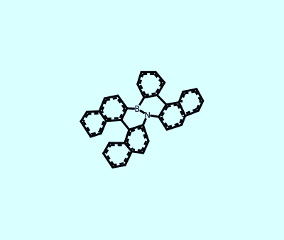 c1ccc2c(c1)B1c3ccc4ccccc4c3-c3c(ccc4ccccc34)N1c1ccc3ccccc3c1-2